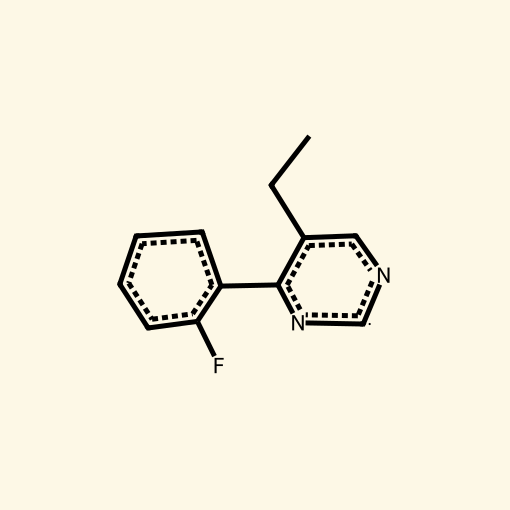 CCc1cn[c]nc1-c1ccccc1F